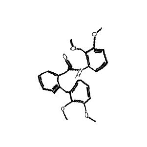 COc1cccc(NC(=O)c2ccccc2-c2cccc(OC)c2OC)c1OC